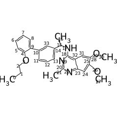 CCCOc1ccccc1-c1cccc([C@@H](C)Nc2nc(C)nc3cc(OC)c(OC)cc23)c1